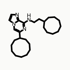 c1cn2cc(C3CCCCCCCCC3)nc(NCCC3CCCCCCCC3)c2n1